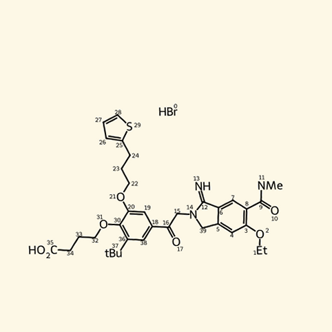 Br.CCOc1cc2c(cc1C(=O)NC)C(=N)N(CC(=O)c1cc(OCCCc3cccs3)c(OCCCC(=O)O)c(C(C)(C)C)c1)C2